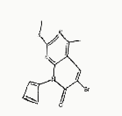 CSc1nc(C)c2cc(Br)c(=O)n(C3=CC=C3)c2n1